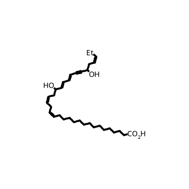 CC/C=C\CC(O)C#C/C=C/C=C/C(O)C/C=C\C/C=C\CCCCCCCCCCCCCCC(=O)O